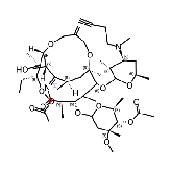 C#CCCN(C)[C@H]1C[C@@H](C)OC(O[C@@H]2C(C)[C@H](OC3C[C@@](C)(OC)[C@@H](OC(C)=O)[C@H](C)O3)[C@@H](C)C(=O)O[C@H](CC)[C@@](C)(O)[C@@H]3OCC(=C)CO[C@]2(C)C[C@@H](C)/C(=N\OC(C)=O)[C@@H]3C)[C@@H]1C